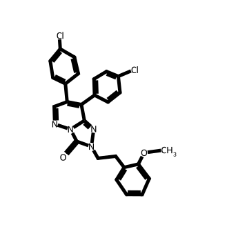 COc1ccccc1CCn1nc2c(-c3ccc(Cl)cc3)c(-c3ccc(Cl)cc3)cnn2c1=O